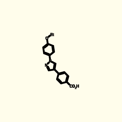 CCOc1ccc(-n2cc(-c3ccc(C(=O)O)cc3)cn2)cc1